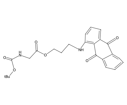 CC(C)(C)OC(=O)NCC(=O)OCCCNc1cccc2c1C(=O)c1ccccc1C2=O